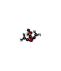 N#Cc1cc(C#N)cc(-c2ccc3c4ccccc4n(-c4cc(-c5cccc(-c6ccccc6)n5)c(C(F)(F)F)cc4-n4c5ccccc5c5ccc(-c6cc(C#N)cc(C#N)c6)cc54)c3c2)c1